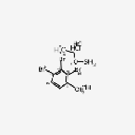 CCO[SiH3].Cl.Cl.Cl.Oc1ccc(Br)c(Br)c1Br